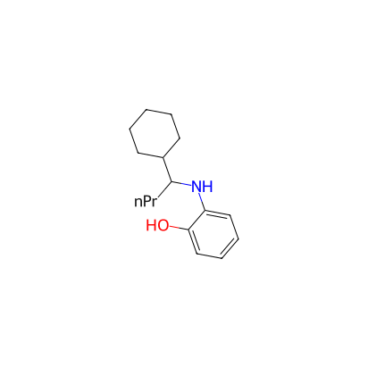 CCCC(Nc1ccccc1O)C1CCCCC1